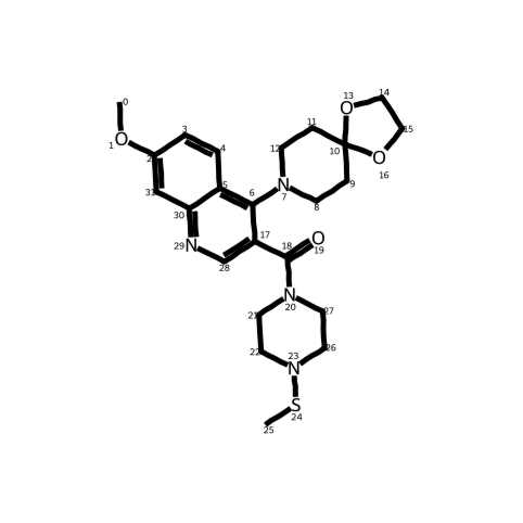 COc1ccc2c(N3CCC4(CC3)OCCO4)c(C(=O)N3CCN(SC)CC3)cnc2c1